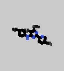 COc1nc(-c2ccc(C)cn2)nc(Nc2ccc(C)cc2)c1C(F)(F)F